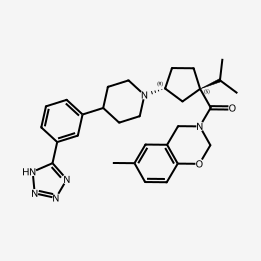 Cc1ccc2c(c1)CN(C(=O)[C@@]1(C(C)C)CC[C@@H](N3CCC(c4cccc(-c5nnn[nH]5)c4)CC3)C1)CO2